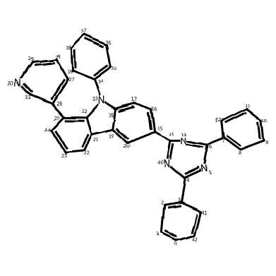 c1ccc(-c2nc(-c3ccccc3)nc(-c3ccc4c(c3)c3cccc(-c5cccnc5)c3n4-c3ccccc3)n2)cc1